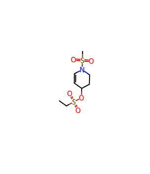 CCS(=O)(=O)OC1C=CN(S(C)(=O)=O)CC1